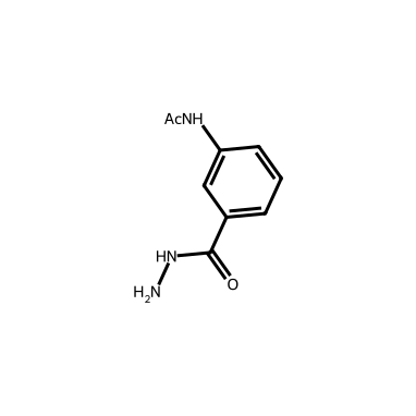 CC(=O)Nc1cccc(C(=O)NN)c1